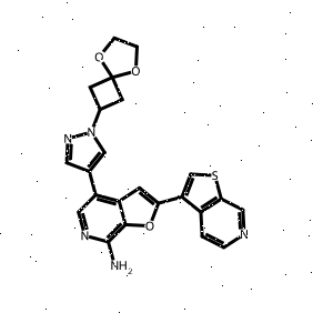 Nc1ncc(-c2cnn(C3CC4(C3)OCCO4)c2)c2cc(-c3csc4cnccc34)oc12